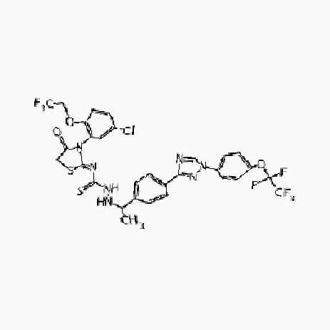 CC(NNC(=S)/N=C1\SCC(=O)N1c1cc(Cl)ccc1OCC(F)(F)F)c1ccc(-c2ncn(-c3ccc(OC(F)(F)C(F)(F)F)cc3)n2)cc1